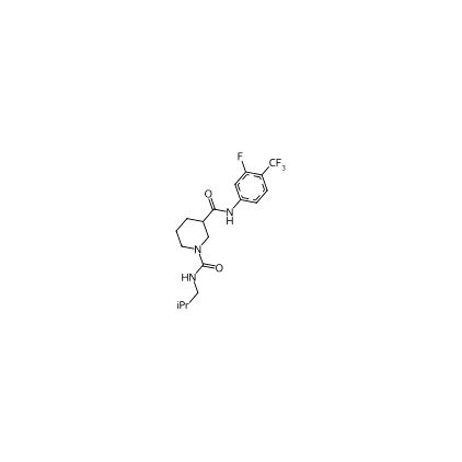 CC(C)CNC(=O)N1CCCC(C(=O)Nc2ccc(C(F)(F)F)c(F)c2)C1